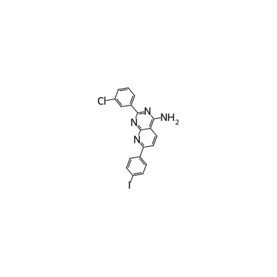 Nc1nc(-c2cccc(Cl)c2)nc2nc(-c3ccc(I)cc3)ccc12